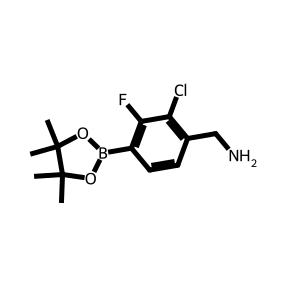 CC1(C)OB(c2ccc(CN)c(Cl)c2F)OC1(C)C